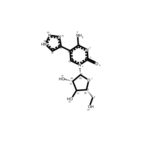 Nc1nc(=O)n([C@@H]2O[C@H](CO)C(O)[C@@H]2O)cc1-c1c[nH]nn1